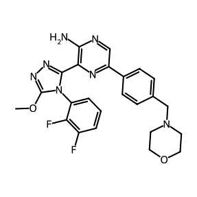 COc1nnc(-c2nc(-c3ccc(CN4CCOCC4)cc3)cnc2N)n1-c1cccc(F)c1F